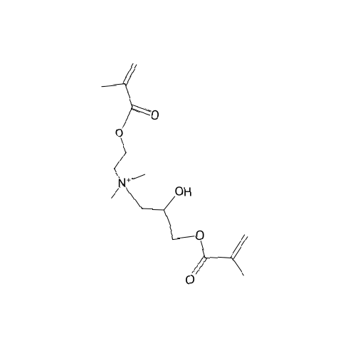 C=C(C)C(=O)OCC[N+](C)(C)CC(O)COC(=O)C(=C)C